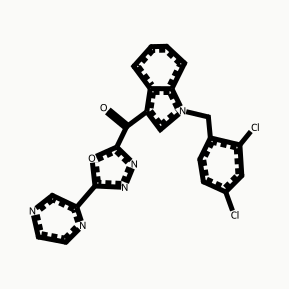 O=C(c1nnc(-c2cnccn2)o1)c1cn(Cc2ccc(Cl)cc2Cl)c2ccccc12